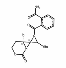 CC(C)(C)C1N(C(=O)c2ccccc2C(N)=O)[C@@]12[C@@H]1CCOC(=O)N12